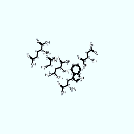 CC(C)C[C@H](N)C(=O)O.NCC(=O)O.N[C@@H](CC(=O)O)C(=O)O.N[C@@H](CCC(=O)O)C(=O)O.N[C@@H](Cc1c[nH]c2ccccc12)C(=O)O